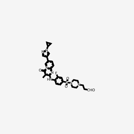 Cc1c(Nc2ccc(S(=O)(=O)N3CCN(CCC=O)CC3)cc2F)nc2ccc(-c3cnn(C4CC4)c3)cn2c1=O